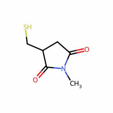 CN1C(=O)CC(CS)C1=O